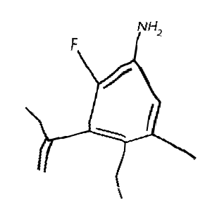 C=C(C)c1c(F)c(N)cc(C)c1I